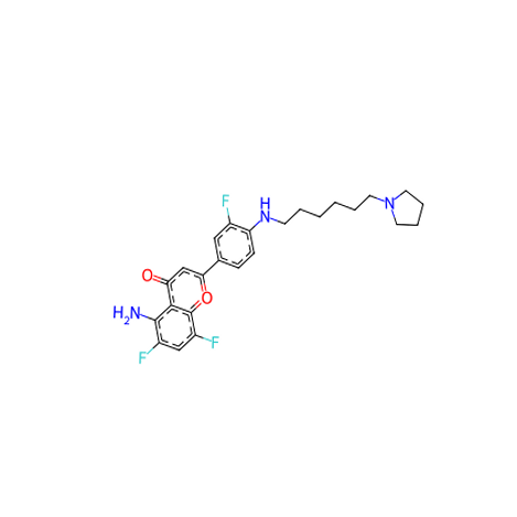 Nc1c(F)cc(F)c2oc(-c3ccc(NCCCCCCN4CCCC4)c(F)c3)cc(=O)c12